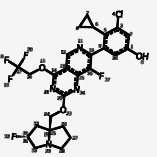 Oc1cc(Cl)c(C2CC2)c(-c2ncc3c(OCC(F)(F)F)nc(OC[C@@]45CCCN4C[C@H](F)C5)nc3c2F)c1